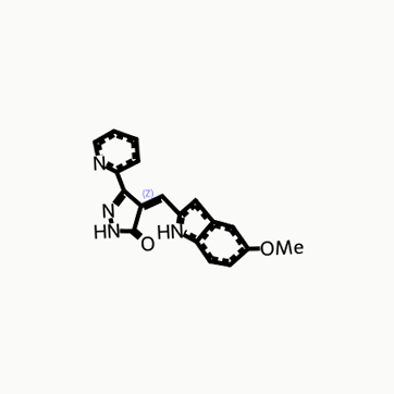 COc1ccc2[nH]c(/C=C3\C(=O)NN=C3c3ccccn3)cc2c1